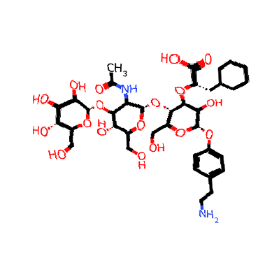 CC(=O)NC1C(O[C@@H]2OC(CO)[C@H](O)C(O)C2O)[C@@H](O)C(CO)O[C@H]1O[C@H]1C(CO)O[C@@H](Oc2ccc(CCN)cc2)C(O)C1O[C@@H](CC1CCCCC1)C(=O)O